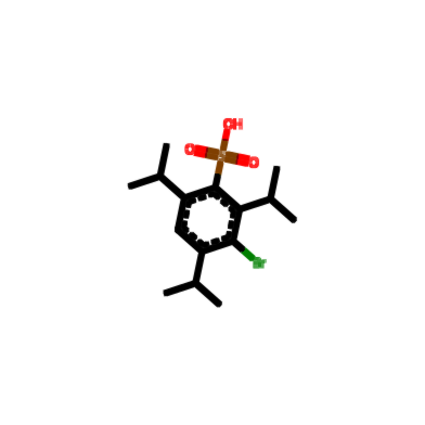 CC(C)c1cc(C(C)C)c(S(=O)(=O)O)c(C(C)C)c1Br